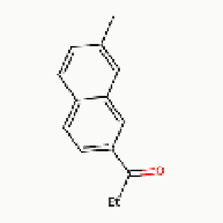 CCC(=O)c1ccc2ccc(C)cc2c1